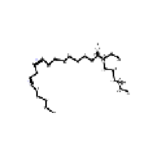 CCCCC/C=C\C/C=C\CCCCCCCC(=O)N(CC)CCCNCC